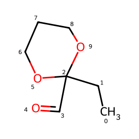 CCC1(C=O)OCCCO1